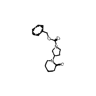 O=C(OCc1ccccc1)N1CCC(N2CCCCC2=O)C1